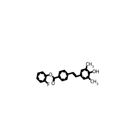 Cc1cc(/C=C/c2ccc(C(=O)Oc3ccccc3F)cc2)cc(C)c1O